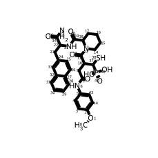 COc1ccc(NC(=O)CC(C(=O)N2CCCCC2C(=O)NC(Cc2ccc3ccccc3c2)C(N)=O)C(S)P(=O)(O)O)cc1